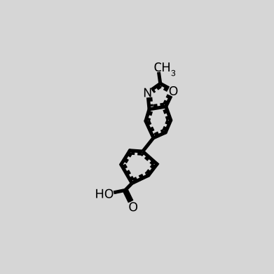 Cc1nc2cc(-c3ccc(C(=O)O)cc3)ccc2o1